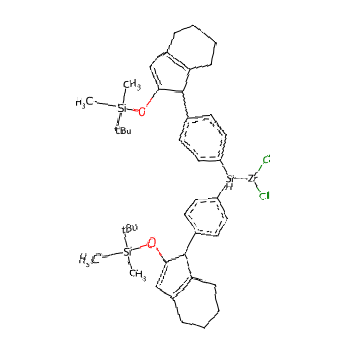 CC(C)(C)[Si](C)(C)OC1=CC2=C(CCCC2)C1c1ccc([SiH](c2ccc(C3C(O[Si](C)(C)C(C)(C)C)=CC4=C3CCCC4)cc2)[Zr]([Cl])[Cl])cc1